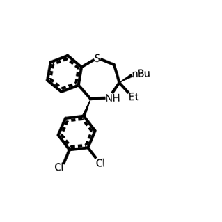 CCCC[C@]1(CC)CSc2ccccc2[C@H](c2ccc(Cl)c(Cl)c2)N1